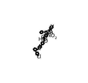 CN1CCN(C(=O)C[C@H](CSc2ccccc2)Nc2ccc(S(=O)(=O)NC(=O)c3ccc(N4CCN(Cc5ccccc5-c5ccc(Cl)cc5)CC4)cc3)cc2[N+](=O)[O-])CC1